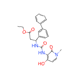 CCOC(=O)CC(NC(=O)Nc1c(O)ccn(C)c1=O)c1cccc(-c2ccccc2)c1